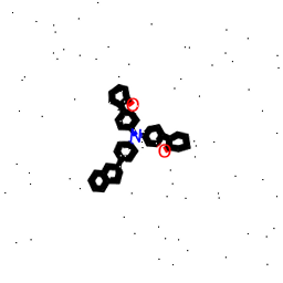 c1ccc2cc(-c3ccc(N(c4ccc5c(c4)oc4ccccc45)c4ccc5c(c4)oc4ccccc45)cc3)ccc2c1